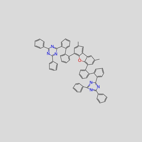 Cc1cc(-c2ccccc2-c2ccccc2-c2nc(-c3ccccc3)nc(-c3ccccc3)n2)c2oc3c(-c4ccccc4-c4ccccc4-c4nc(-c5ccccc5)nc(-c5ccccc5)n4)cc(C)cc3c2c1